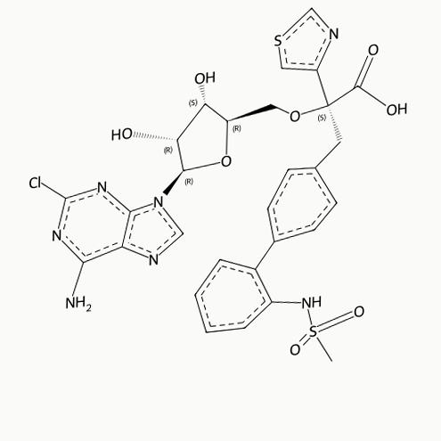 CS(=O)(=O)Nc1ccccc1-c1ccc(C[C@@](OC[C@H]2O[C@@H](n3cnc4c(N)nc(Cl)nc43)[C@H](O)[C@@H]2O)(C(=O)O)c2cscn2)cc1